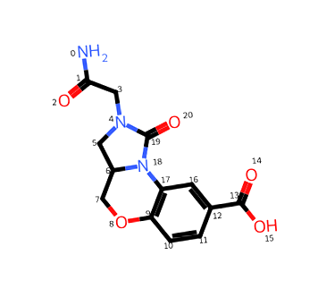 NC(=O)CN1CC2COc3ccc(C(=O)O)cc3N2C1=O